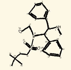 CNC(c1ccccc1)C(c1ccccc1)N(CCl)S(=O)(=O)CCC(C)(C)C